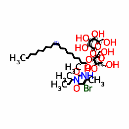 CCC(C)n1c(=O)[nH]c(C)c(Br)c1=O.CCCCCCCC/C=C\CCCCCCC(C)C(=O)O[C@H]1[C@H](O)[C@@H](CO)O[C@@]1(CO)O[C@H]1O[C@H](CO)[C@@H](O)[C@H](O)[C@H]1O